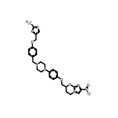 Cc1nc(COc2ccc(CN3CCN(c4ccc(OCC5CCn6cc([N+](=O)[O-])nc6O5)cc4)CC3)cc2)cs1